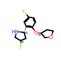 Fc1ccc(O[C@H]2CCOC2)c([C@@H]2C[C@@H](F)CN2)c1